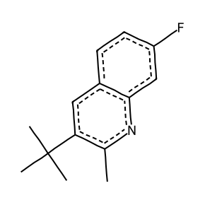 Cc1nc2cc(F)ccc2cc1C(C)(C)C